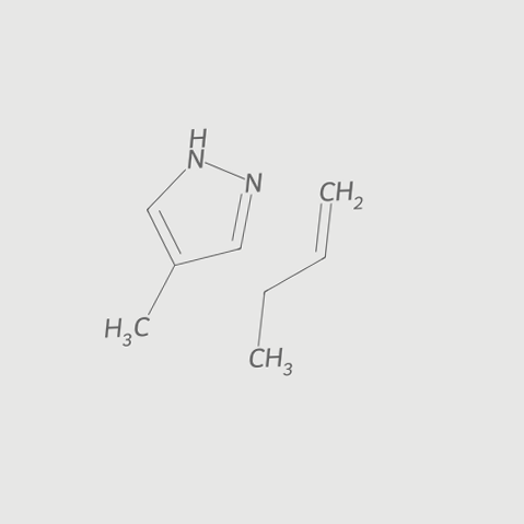 C=CCC.Cc1cn[nH]c1